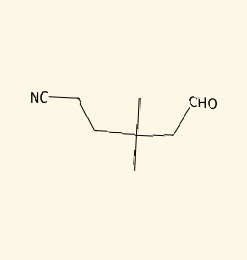 CC(C)(CC=O)CCC#N